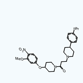 CCCc1ccc(C2CCN(CCC(=O)N3CCC(Oc4ccc([N+](=O)[O-])c(OC)c4)CC3)CC2)cc1